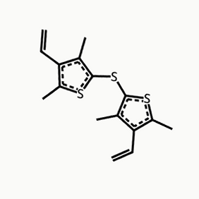 C=Cc1c(C)sc(Sc2sc(C)c(C=C)c2C)c1C